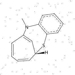 CN1C2=C[C@@H](C=CC=C2)Sc2ccccc21